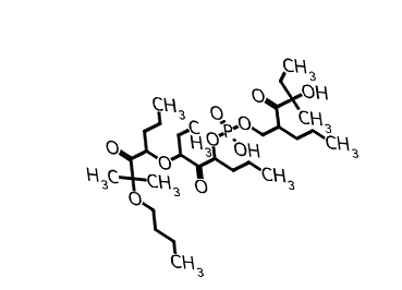 CCCCOC(C)(C)C(=O)C(CCC)OC(CC)C(=O)C(CCC)OP(=O)(O)OCC(CCC)C(=O)C(C)(O)CC